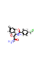 Cc1ccc2c(NC(=O)c3ccc(CCl)cc3)c(C(N)=O)oc2c1